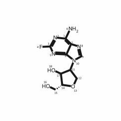 Nc1nc(F)nc2c1ncn2C1CO[C@H](CO)C1O